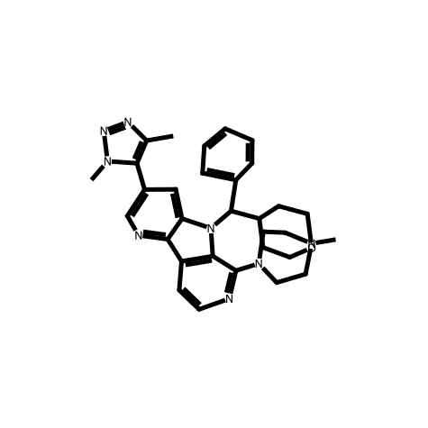 Cc1nnn(C)c1-c1cnc2c3ccnc(N4CCN(C)CC4)c3n(C(c3ccccc3)C3CCOCC3)c2c1